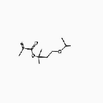 C=C(C)C(=O)OC(C)(C)CCOC(C)C